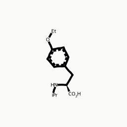 CCOc1ccc(C[C@H](NC(C)C)C(=O)O)cc1